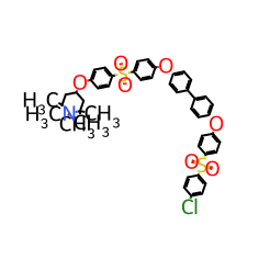 CN1C(C)(C)CC(Oc2ccc(S(=O)(=O)c3ccc(Oc4ccc(-c5ccc(Oc6ccc(S(=O)(=O)c7ccc(Cl)cc7)cc6)cc5)cc4)cc3)cc2)CC1(C)C